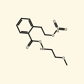 COCCNOC(=O)c1ccccc1CCO[SH](=O)=O